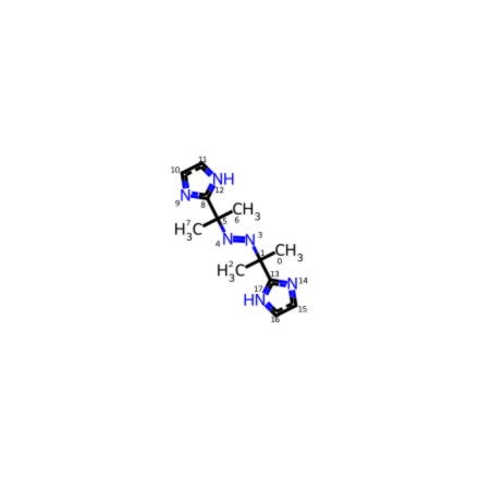 CC(C)(N=NC(C)(C)c1ncc[nH]1)c1ncc[nH]1